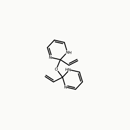 C=CC1(OC2(C=C)N=CC=CN2)N=CC=CN1